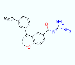 COc1cccc(C2=CCOc3ccc(C(=O)N=C(N)N)cc32)c1